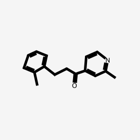 Cc1cc(C(=O)C[CH]c2ccccc2C)ccn1